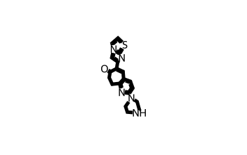 O=C1CCc2nc(N3CCNCC3)ccc2C=C1c1cn2ccsc2n1